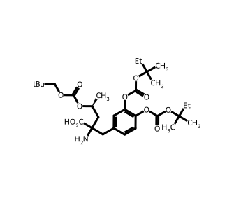 CCC(C)(C)OC(=O)Oc1ccc(CC(N)(C[C@H](C)OC(=O)OCC(C)(C)C)C(=O)O)cc1OC(=O)OC(C)(C)CC